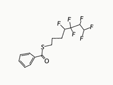 O=C(SCCCC(F)C(F)(F)C(F)C(F)F)c1ccccc1